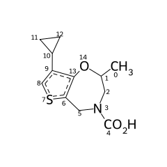 CC1CN(C(=O)O)Cc2scc(C3CC3)c2O1